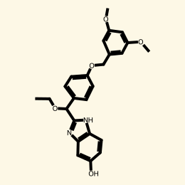 CCOC(c1ccc(OCc2cc(OC)cc(OC)c2)cc1)c1nc2cc(O)ccc2[nH]1